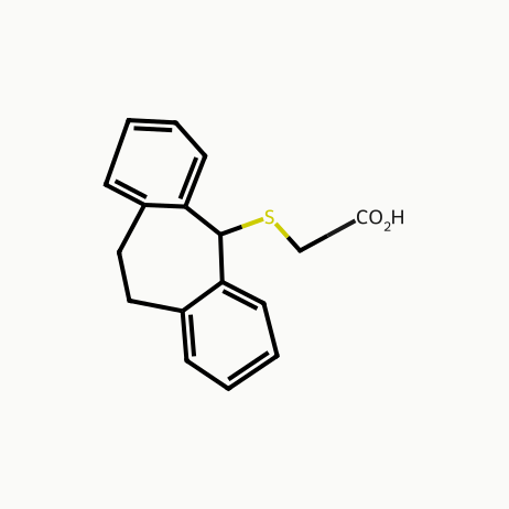 O=C(O)CSC1c2ccccc2CCc2ccccc21